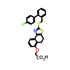 O=C(O)COc1cccc2c1CCc1sc(SCc3ccccc3-c3ccc(F)cc3)nc1-2